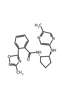 Cc1cnc(N[C@H]2CCC[C@@H]2NC(=O)c2ccccc2-c2nc(C)no2)cn1